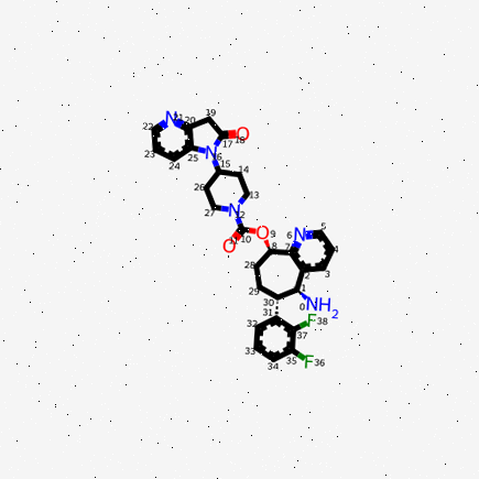 N[C@@H]1c2cccnc2[C@H](OC(=O)N2CCC(N3C(=O)Cc4ncccc43)CC2)CC[C@H]1c1cccc(F)c1F